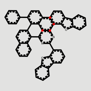 c1ccc(-c2ccc3ccccc3c2-c2ccc3ccccc3c2-c2nc(-c3cccc4c3oc3ccccc34)nc(-c3cccc4c3oc3ccccc34)n2)cc1